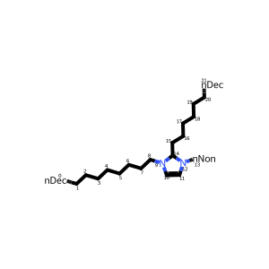 CCCCCCCCCCCCCCCCCCN1C=CN(CCCCCCCCC)C1CCCCCCCCCCCCCCCC